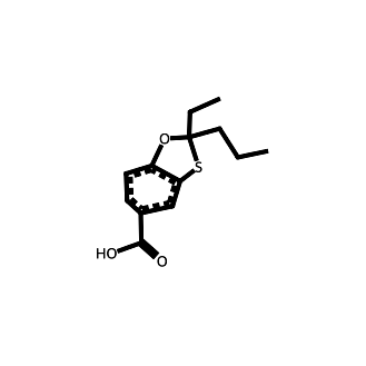 CCCC1(CC)Oc2ccc(C(=O)O)cc2S1